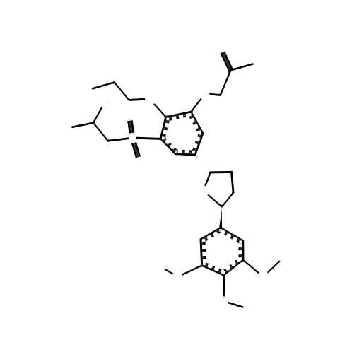 CCCOc1c(OCC(C)=O)cc([C@@H]2CC[C@@H](c3cc(OC)c(OC)c(OC)c3)O2)cc1S(=O)(=O)CC(C)O